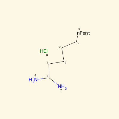 CCCCCCCCCC(N)N.Cl